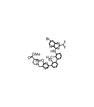 COC(=O)C1CCN(Cc2ncc(-c3cccc(-c4cccc(Nc5nc(C(F)F)nc6cc(Br)cnc56)c4C)c3Cl)nc2OC)CC1